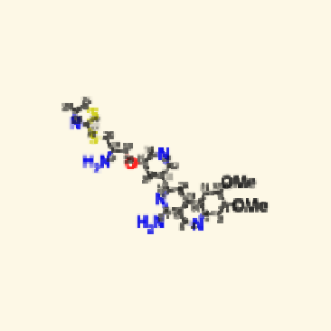 COc1cc2ncc3c(N)nc(-c4cncc(OC[C@@H](N)CSc5nccs5)c4)cc3c2cc1OC